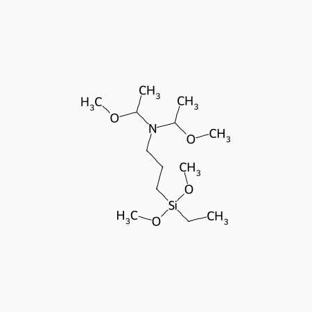 CC[Si](CCCN(C(C)OC)C(C)OC)(OC)OC